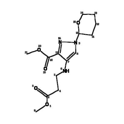 COC(=O)CCNc1cn(C2CCCCO2)nc1C(=O)OC